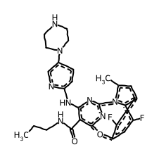 CCCNC(=O)c1c(Nc2ccc(N3CCNCC3)cn2)nc2nc1oc1cc(F)c3c(cc(C)n23)c1F